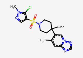 COC1(c2cn3ncnc3cc2C)CCN(S(=O)(=O)c2cnn(C)c2Cl)CC1